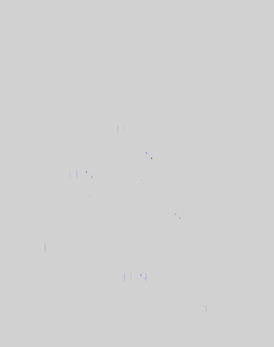 CC(N)C(=O)C(C(=O)O)(C(=O)OC(C)(C)C)N(C(=O)C(N)Cc1ccccc1)C(=O)C(N)C(C)C